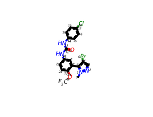 Cn1ncc(Br)c1-c1cc(NC(=O)Nc2ccc(Cl)cc2)ccc1OC(F)(F)F